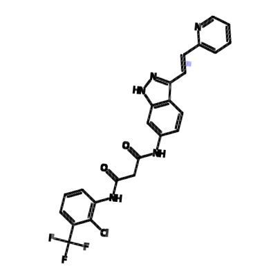 O=C(CC(=O)Nc1cccc(C(F)(F)F)c1Cl)Nc1ccc2c(/C=C/c3ccccn3)n[nH]c2c1